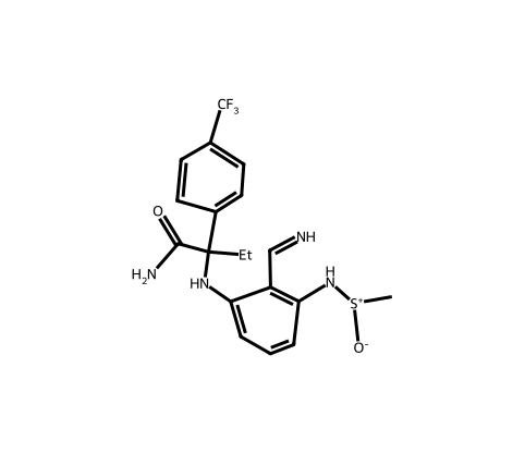 CCC(Nc1cccc(N[S+](C)[O-])c1C=N)(C(N)=O)c1ccc(C(F)(F)F)cc1